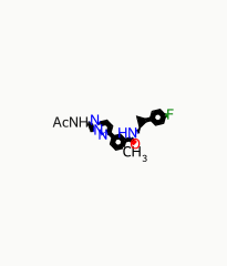 CC(=O)Nc1cn2nc(-c3ccc(C)c(C(=O)NC[C@H]4CC4c4ccc(F)cc4)c3)ccc2n1